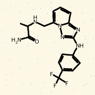 CC(NCc1cccc2nc(Nc3ccc(C(F)(F)F)cc3)nn12)C(N)=O